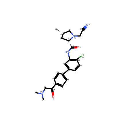 C[C@H]1C[C@@H](C(=O)Nc2cc(-c3ccc(C(=O)CN(C)C)cc3)ccc2Cl)N(CC#N)C1